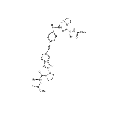 COC(=O)N[C@H](C(=O)N1CCC[C@H]1CNC(=O)c1ccc(C#Cc2ccc3nc([C@@H]4CCCN4C(=O)[C@@H](NC(=O)OC)C(C)C)[nH]c3c2)cn1)C(C)C